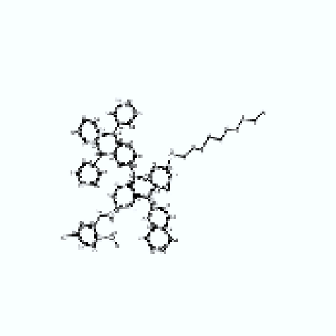 CCCCCCCCCCOc1ccc2c(-c3ccc4ccccc4c3)c3cc(OCc4cc(C)ccc4OC)ccc3c(-c3ccc4c(-c5ccccc5)c5ccccc5c(-c5ccccc5)c4c3)c2c1